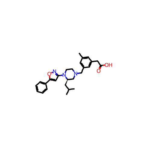 Cc1cc(CC(=O)O)cc(CN2CCN(c3cc(-c4ccccc4)on3)[C@H](CC(C)C)C2)c1